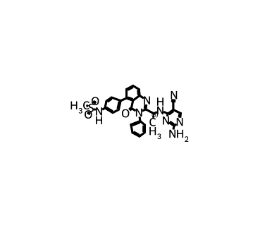 C[C@H](Nc1nc(N)ncc1C#N)c1nc2cccc(-c3ccc(NS(C)(=O)=O)cc3)c2c(=O)n1-c1ccccc1